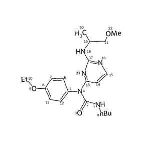 CCCCNC(=O)N(c1ccc(OCC)cc1)c1ccnc(NC(C)COC)n1